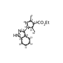 CCOC(=O)c1c(C)nn(-c2n[nH]c3ccccc23)c1C